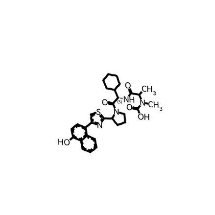 CC(C(=O)N[C@H](C(=O)N1CCCC1c1nc(-c2ccc(O)c3ccccc23)cs1)C1CCCCC1)N(C)C(=O)O